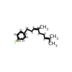 CC(C)=CCCC(C)=CCCc1ccc(F)cc1